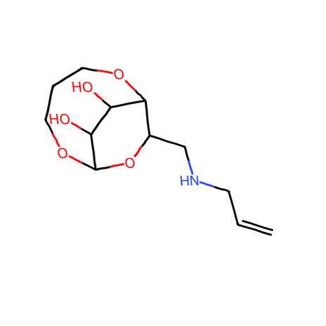 C=CCNCC1OC2OCCCOC1C(O)C2O